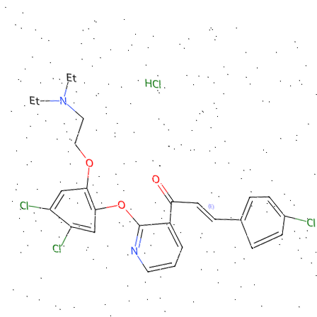 CCN(CC)CCOc1cc(Cl)c(Cl)cc1Oc1ncccc1C(=O)/C=C/c1ccc(Cl)cc1.Cl